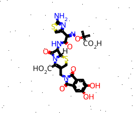 CC(C)(O/N=C(\C(=O)NC1C(=O)N2C(C(=O)O)=C(CN3C(=O)c4cc(O)c(O)cc4C3=O)CS[C@@H]12)c1csc(N)n1)C(=O)O